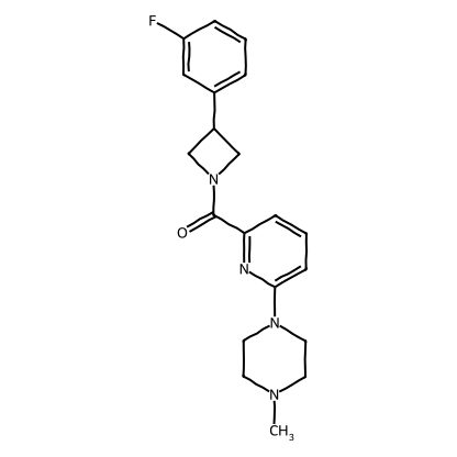 CN1CCN(c2cccc(C(=O)N3CC(c4cccc(F)c4)C3)n2)CC1